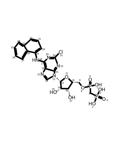 O=P(O)(O)CP(=O)(O)OC[C@H]1O[C@@H](n2cnc3c(Nc4cccc5ccccc45)nc(Cl)nc32)[C@@H](O)[C@H]1O